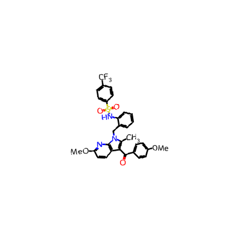 COc1ccc(C(=O)c2c(C)n(Cc3ccccc3NS(=O)(=O)c3ccc(C(F)(F)F)cc3)c3nc(OC)ccc23)cc1